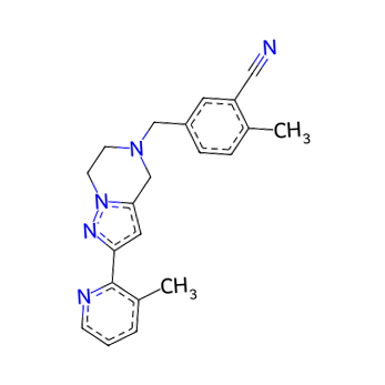 Cc1ccc(CN2CCn3nc(-c4ncccc4C)cc3C2)cc1C#N